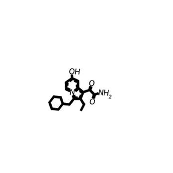 CCc1c(C(=O)C(N)=O)c2cc(O)ccn2c1CC1CCCCC1